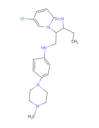 CCC1N=C2C=CC(Cl)=CN2C1CNc1ccc(N2CCN(C)CC2)cc1